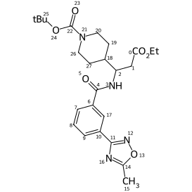 CCOC(=O)CC(NC(=O)c1cccc(-c2noc(C)n2)c1)C1CCN(C(=O)OC(C)(C)C)CC1